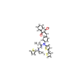 C/C(=C\C=C(/C)N(c1ccc(C=C2C(=O)c3ccccc3C2=O)cc1)c1ccc(-c2cccs2)s1)c1cccs1